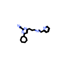 N#Cc1nc(CCCNCCc2ccccn2)cc(C2CCCCCC2)n1